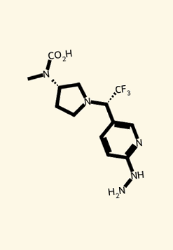 CN(C(=O)O)[C@H]1CCN([C@@H](c2ccc(NN)nc2)C(F)(F)F)C1